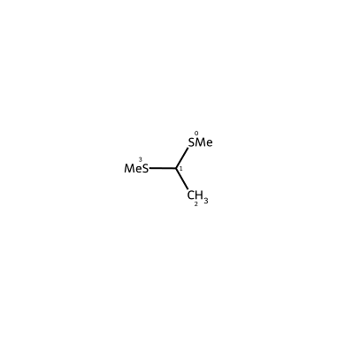 CSC(C)SC